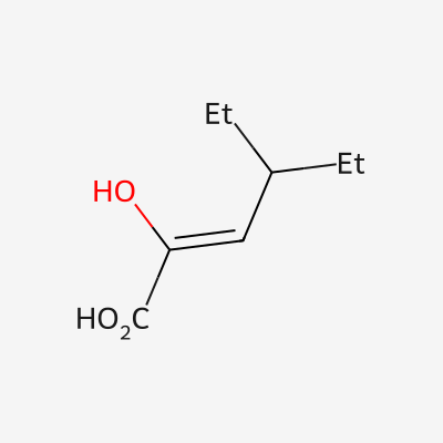 CCC(C=C(O)C(=O)O)CC